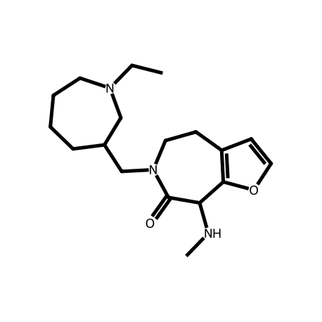 CCN1CCCCC(CN2CCc3ccoc3C(NC)C2=O)C1